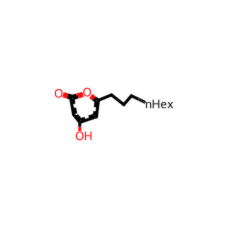 CCCCCCCCCc1cc(O)cc(=O)o1